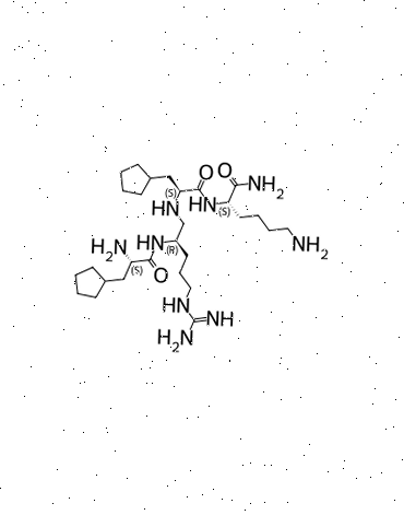 N=C(N)NCCC[C@H](CN[C@@H](CC1CCCC1)C(=O)N[C@@H](CCCCN)C(N)=O)NC(=O)[C@@H](N)CC1CCCC1